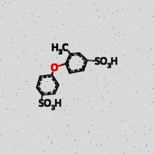 Cc1cc(S(=O)(=O)O)ccc1Oc1ccc(S(=O)(=O)O)cc1